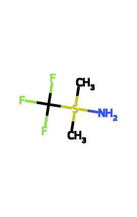 CS(C)(N)C(F)(F)F